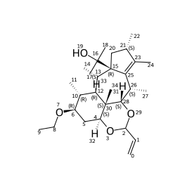 C=CC1O[C@H]2C[C@@H](OCC)[C@H](C)[C@H]3[C@H](C)[C@]4(C(C)(C)O)C[C@H](C)C(C)=C4[C@H](C)[C@H](O1)[C@@]32C